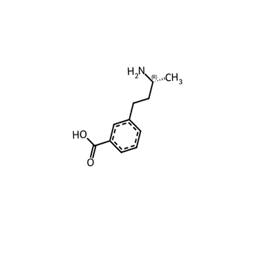 C[C@@H](N)CCc1cccc(C(=O)O)c1